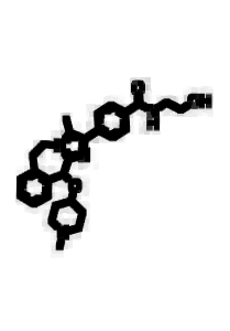 Cc1c(-c2ccc(C(=O)NCCO)cc2)nc2n1CCc1ccccc1C2OC1CCN(C)CC1